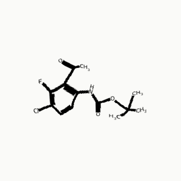 CC(=O)c1c(NC(=O)OC(C)(C)C)ccc(Cl)c1F